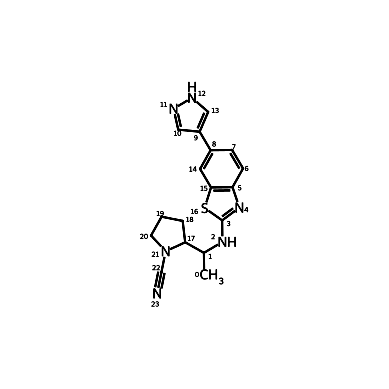 CC(Nc1nc2ccc(-c3cn[nH]c3)cc2s1)C1CCCN1C#N